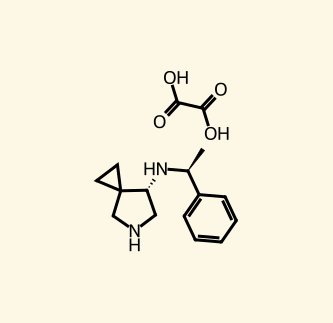 C[C@H](N[C@@H]1CNCC12CC2)c1ccccc1.O=C(O)C(=O)O